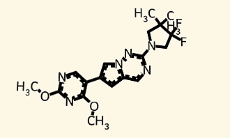 COc1ncc(-c2cc3cnc(N4CC(C)(C)C(F)(F)C4)nn3c2)c(OC)n1